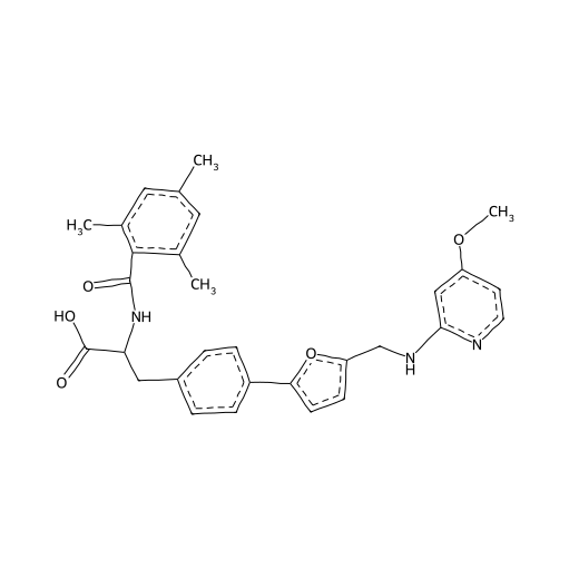 COc1ccnc(NCc2ccc(-c3ccc(CC(NC(=O)c4c(C)cc(C)cc4C)C(=O)O)cc3)o2)c1